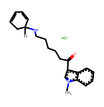 CCC1(NCCCCCC(=O)c2cn(C)c3ccccc23)C=CC=CC1.Cl